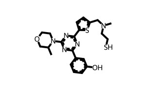 CC1COCCN1c1nc(-c2cccc(O)c2)nc(-c2ccc(CN(C)CCS)s2)n1